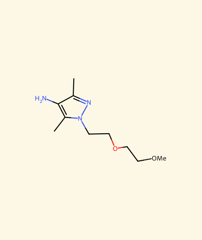 COCCOCCn1nc(C)c(N)c1C